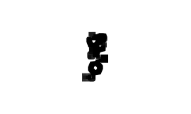 O=C(NC1CCC(O)CC1)C1CS[C@@]23CC=CC=C2N=CC[C@H]13